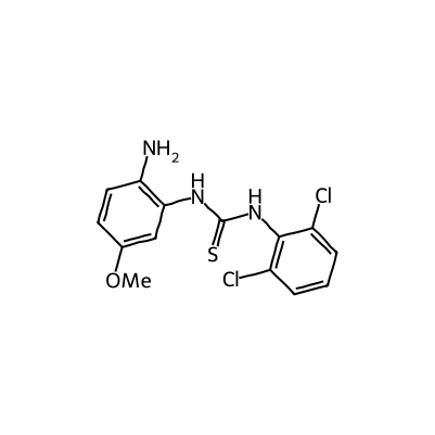 COc1ccc(N)c(NC(=S)Nc2c(Cl)cccc2Cl)c1